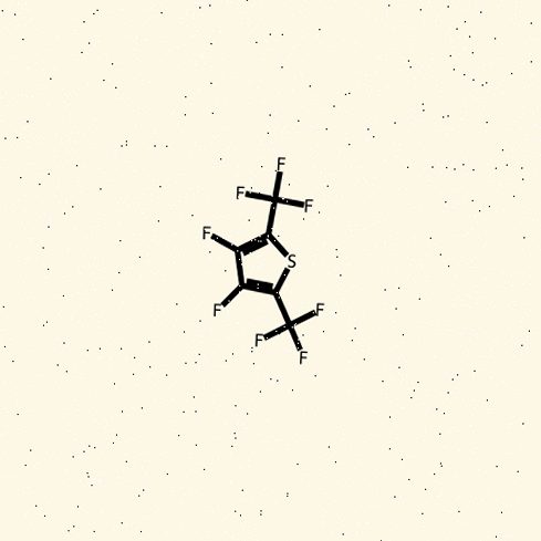 Fc1c(C(F)(F)F)sc(C(F)(F)F)c1F